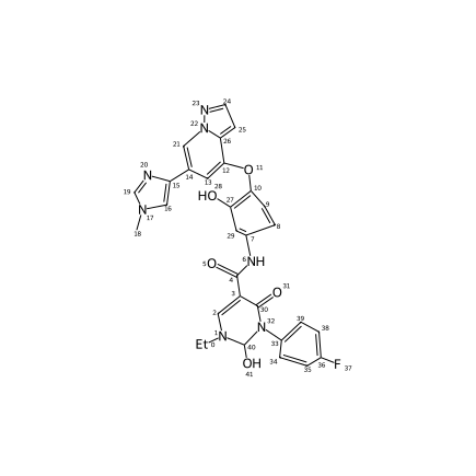 CCN1C=C(C(=O)Nc2ccc(Oc3cc(-c4cn(C)cn4)cn4nccc34)c(O)c2)C(=O)N(c2ccc(F)cc2)C1O